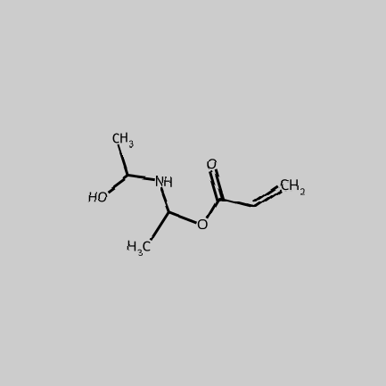 C=CC(=O)OC(C)NC(C)O